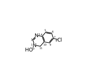 ON1C=Nc2ccc(Cl)cc2C1